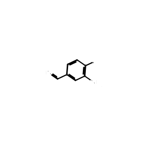 N=Cc1ccc(F)c(N)c1